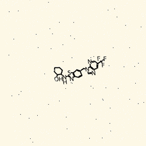 OC1CCCCC1Nc1nc2ccc(Cn3cnc4cc(C(F)(F)F)cnc43)cc2s1